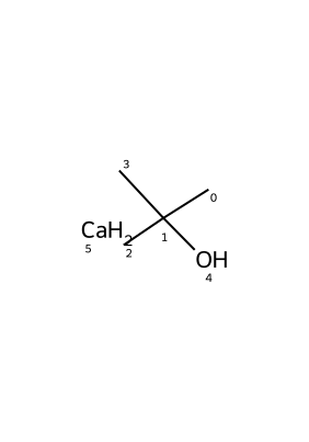 CC(C)(C)O.[CaH2]